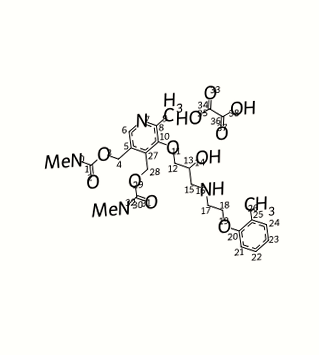 CNC(=O)OCc1cnc(C)c(OCC(O)CNCCOc2ccccc2C)c1COC(=O)NC.O=C(O)C(=O)O